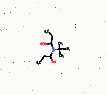 CCC(O)N(C(O)CC)C(C)(C)C